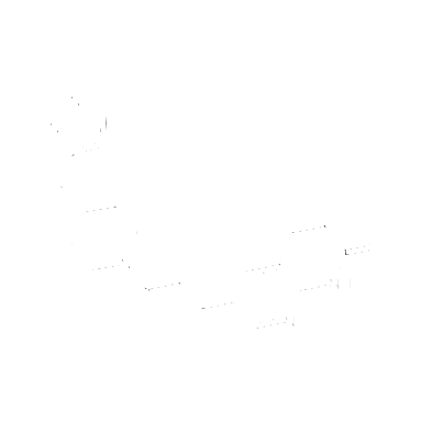 CC1(C)Cc2cc(C=CC(=O)N3CCC(=Cc4nncs4)CC3)cnc2NC1=O